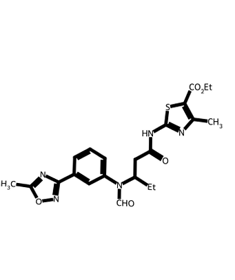 CCOC(=O)c1sc(NC(=O)CC(CC)N(C=O)c2cccc(-c3noc(C)n3)c2)nc1C